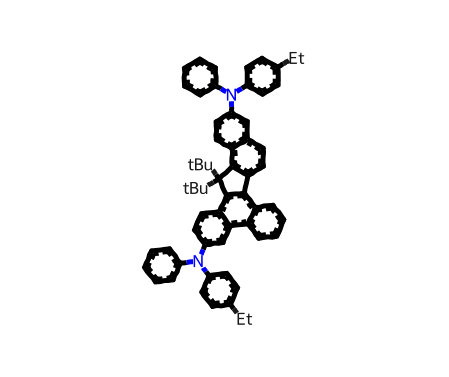 CCc1ccc(N(c2ccccc2)c2ccc3c4c(ccc3c2)-c2c(c3ccc(N(c5ccccc5)c5ccc(CC)cc5)cc3c3ccccc23)C4(C(C)(C)C)C(C)(C)C)cc1